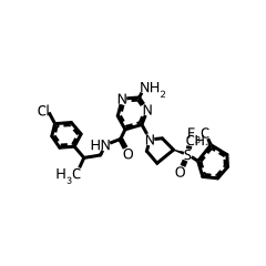 C=S(=O)(c1ccccc1C(F)(F)F)[C@H]1CCN(c2nc(N)ncc2C(=O)NCC(C)c2ccc(Cl)cc2)C1